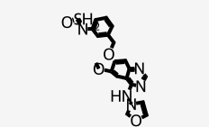 COc1cc2c(NN3C=COC3)ncnc2cc1OCc1cccc(N=[SH2]=O)c1